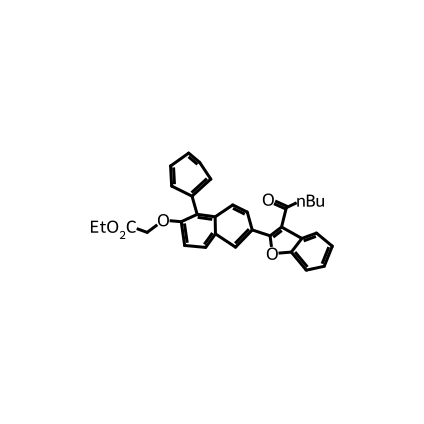 CCCCC(=O)c1c(-c2ccc3c(-c4ccccc4)c(OCC(=O)OCC)ccc3c2)oc2ccccc12